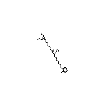 CCCN(CCC)CCCCCCCCCCCCCCCCc1ccccc1C.O